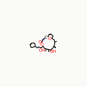 C=C1CC(C)CC2CC=CC(C/C=C\C(=O)OC(C(O)/C=C/C3CCC=CCC3)C[C@H](C)C(C)[C@@H](O)C1)O2